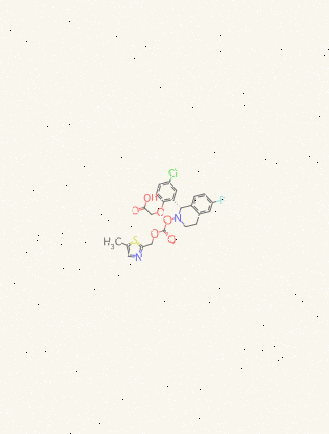 Cc1cnc(COC(=O)ON2CCc3cc(F)ccc3[C@H]2c2cc(Cl)ccc2OCC(=O)O)s1